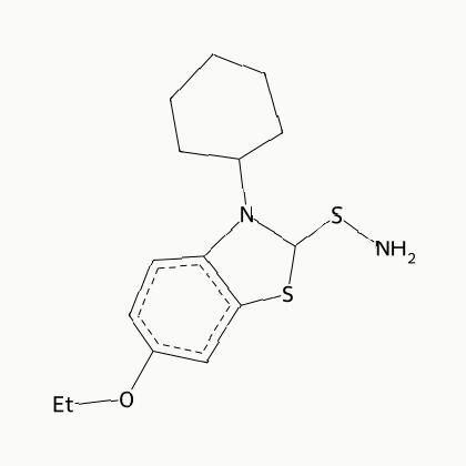 CCOc1ccc2c(c1)SC(SN)N2C1CCCCC1